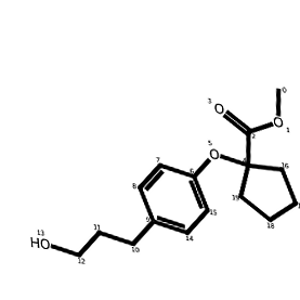 COC(=O)C1(Oc2ccc(CCCO)cc2)CCCC1